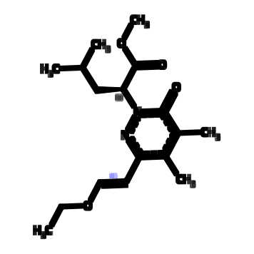 CCO/C=C/c1nn([C@@H](CC(C)C)C(=O)OC)c(=O)c(C)c1C